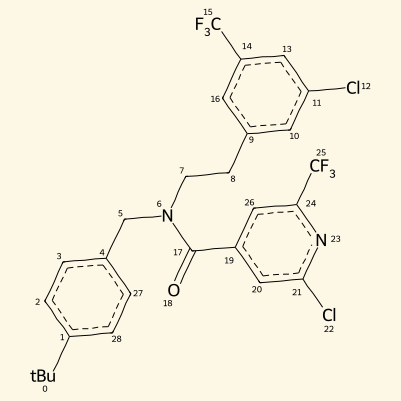 CC(C)(C)c1ccc(CN(CCc2cc(Cl)cc(C(F)(F)F)c2)C(=O)c2cc(Cl)nc(C(F)(F)F)c2)cc1